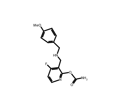 COc1ccc(CNCc2c(F)ccnc2OC(N)=O)cc1